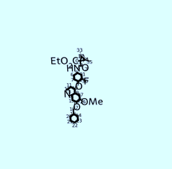 CCOC(=O)C1(C(=O)Nc2ccc(Oc3ccnc4cc(OCc5ccccc5)c(OC)cc34)c(F)c2)[C@H](C)[C@H]1C